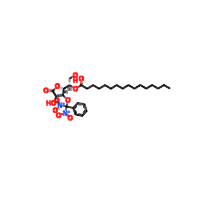 CCCCCCCCCCCCCCCC(=O)O[C@@H](CO)[C@H]1OC(=O)C(O)=C1OC(c1ccccc1)([N+](=O)[O-])[N+](=O)[O-]